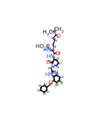 CN(C)C(=O)/C=C/CC[C@H](NC(=O)O)C(=O)Nc1cccn(Cc2nc3cc(F)c(F)c(OCc4ccccc4)c3[nH]2)c1=O